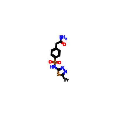 CC(C)c1nnc(NS(=O)(=O)c2ccc(CC(N)=O)cc2)s1